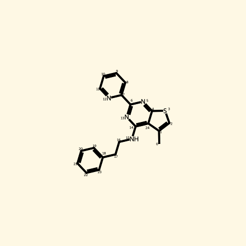 Cc1csc2nc(-c3ccccn3)nc(NCCc3ccccc3)c12